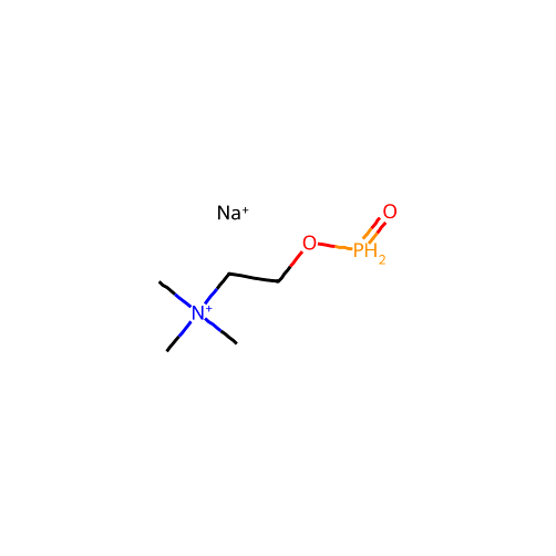 C[N+](C)(C)CCO[PH2]=O.[Na+]